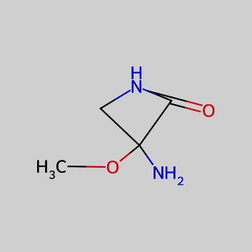 COC1(N)CNC1=O